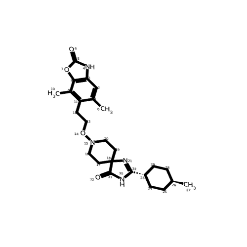 Cc1cc2[nH]c(=O)oc2c(C)c1CCON1CCC2(CC1)N=C([C@H]1CC[C@H](C)CC1)NC2=O